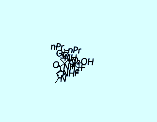 CCCC(CCC)S(=O)(=O)C[C@](N)(C(N)=O)C(=O)c1cc(C)n[nH]1.O=C(O)C(F)(F)F